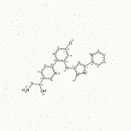 Cn1nc(-c2ccccn2)cc1Oc1cc(Cl)ccc1-c1ccc(C(O)CN)cn1